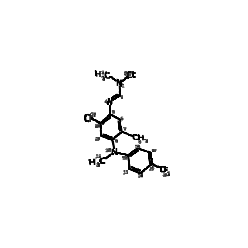 CCN(C)C=Nc1cc(C)c(N(C)c2ccc(C(F)(F)F)cc2)cc1Cl